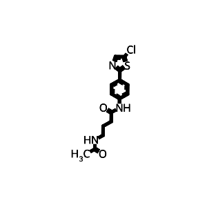 CC(=O)NCCCC(=O)Nc1ccc(-c2ncc(Cl)s2)cc1